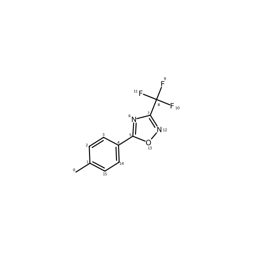 Cc1ccc(-c2nc(C(F)(F)F)no2)cc1